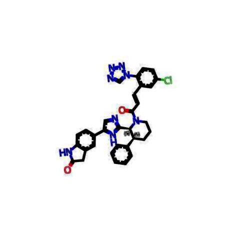 O=C1Cc2cc(-c3cnc([C@@H]4[C@H](c5ccccc5)CCCN4C(=O)C=Cc4cc(Cl)ccc4-n4cnnn4)[nH]3)ccc2N1